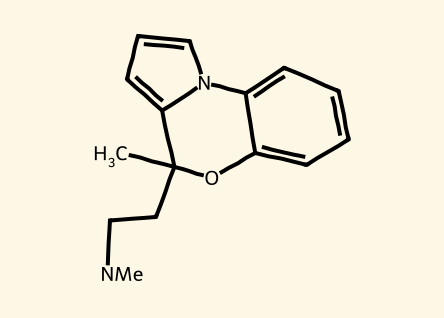 CNCCC1(C)Oc2ccccc2-n2cccc21